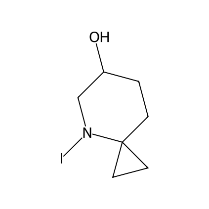 OC1CCC2(CC2)N(I)C1